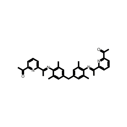 CC(=O)c1cccc(/C(C)=N/c2c(C)cc(Cc3cc(C)c(/N=C(\C)c4cccc(C(C)=O)n4)c(C)c3)cc2C)n1